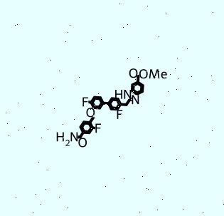 COC(=O)c1ccc2nc(Cc3ccc(-c4ccc(F)c(OCc5ccc(C(N)=O)cc5F)c4)cc3F)[nH]c2c1